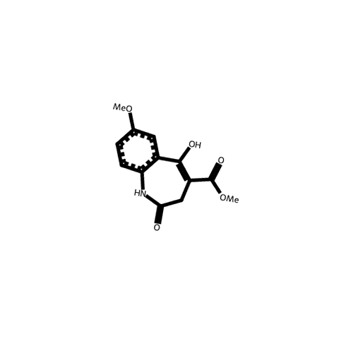 COC(=O)C1=C(O)c2cc(OC)ccc2NC(=O)C1